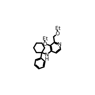 CCOCc1nccc(NC2(c3ccccc3)CCCCC2)c1OCC